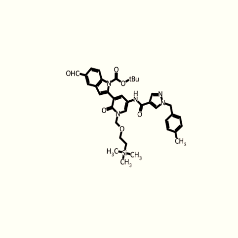 Cc1ccc(Cn2cc(C(=O)Nc3cc(-c4cc5cc(C=O)ccc5n4C(=O)OC(C)(C)C)c(=O)n(COCC[Si](C)(C)C)c3)cn2)cc1